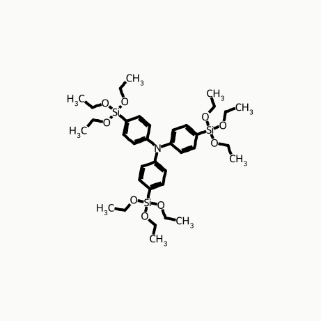 CCO[Si](OCC)(OCC)c1ccc(N(c2ccc([Si](OCC)(OCC)OCC)cc2)c2ccc([Si](OCC)(OCC)OCC)cc2)cc1